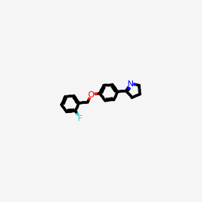 Fc1ccccc1COc1ccc(C2=NCCC2)cc1